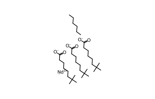 CC(C)(C)CCCCCC(=O)[O-].CC(C)(C)CCCCCC(=O)[O-].CC(C)(C)CCCCCC(=O)[O-].CCCCCC.[Nd+3]